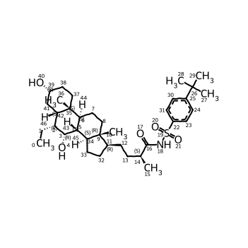 CC[C@H]1[C@@H](O)[C@@H]2[C@H](CC[C@]3(C)[C@@H](CC[C@H](C)C(=O)NS(=O)(=O)c4ccc(C(C)(C)C)cc4)CC[C@@H]23)[C@@]2(C)CC[C@@H](O)C[C@@H]12